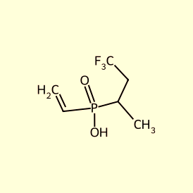 C=CP(=O)(O)C(C)CC(F)(F)F